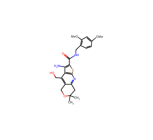 COc1ccc(CNC(=O)c2sc3nc4c(c(CO)c3c2N)COC(C)(C)C4)c(OC)c1